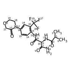 CC(C)C(=O)N[C@@H](C(N)=O)C(=O)Nc1ccc(N2CCOCC2=O)cc1C(F)(F)F